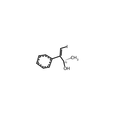 C[C@H](O)C(=CI)c1ccccc1